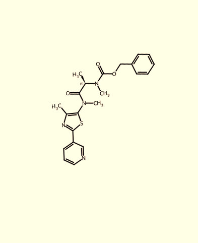 Cc1nc(-c2cccnc2)sc1N(C)C(=O)[C@@H](C)N(C)C(=O)OCc1ccccc1